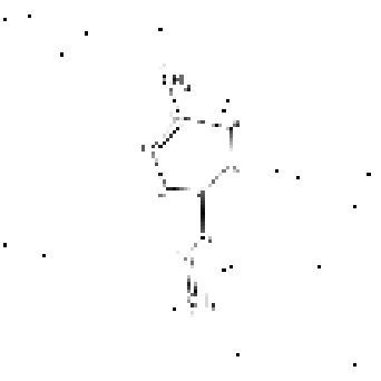 C=CCC1CC=C(C)CC1